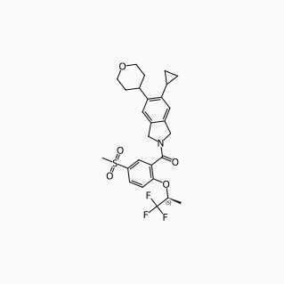 C[C@H](Oc1ccc(S(C)(=O)=O)cc1C(=O)N1Cc2cc(C3CCOCC3)c(C3CC3)cc2C1)C(F)(F)F